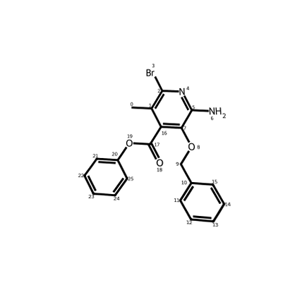 Cc1c(Br)nc(N)c(OCc2ccccc2)c1C(=O)Oc1ccccc1